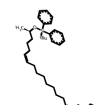 C[C@H](CCC/C=C\CCCCCCC/C=C\CCCC(=O)O)O[Si](c1ccccc1)(c1ccccc1)C(C)(C)C